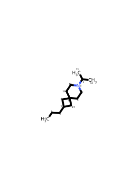 CCCC1CC2(CCN(C(C)C)CC2)C1